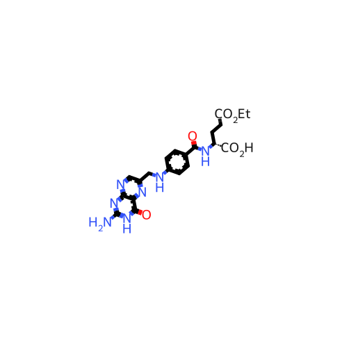 CCOC(=O)CC[C@@H](NC(=O)c1ccc(NCc2cnc3nc(N)[nH]c(=O)c3n2)cc1)C(=O)O